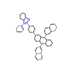 C1=CCCC(n2c(-c3ccc(-c4ccc5c(C6=CC7C=CC=CC7C=C6)c6ccccc6c(-c6ccc7c(c6)CCC=C7)c5c4)cc3)nc3ccccc32)=C1